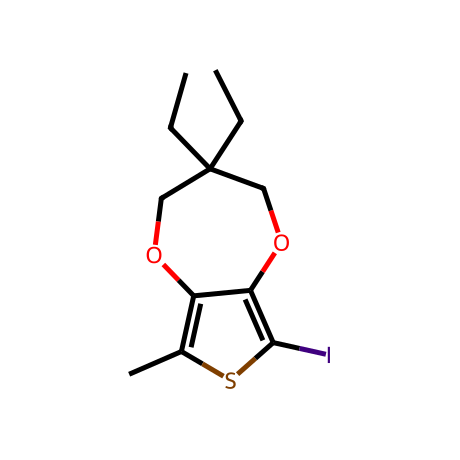 CCC1(CC)COc2c(C)sc(I)c2OC1